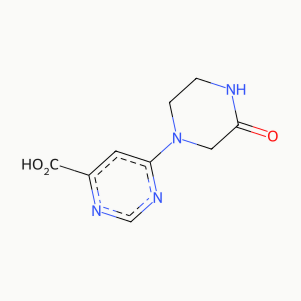 O=C1CN(c2cc(C(=O)O)ncn2)CCN1